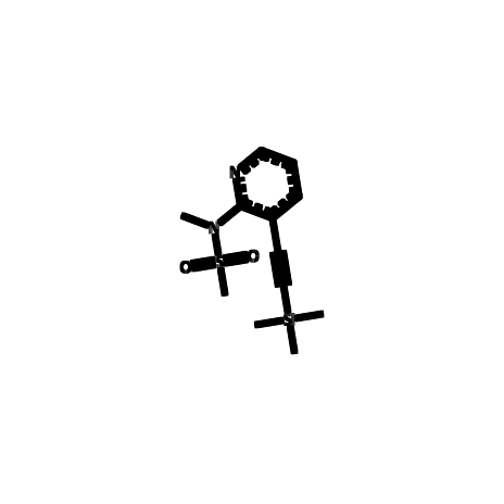 CN(c1ncccc1C#C[Si](C)(C)C)S(C)(=O)=O